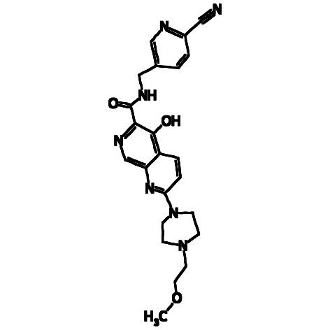 COCCN1CCN(c2ccc3c(O)c(C(=O)NCc4ccc(C#N)nc4)ncc3n2)CC1